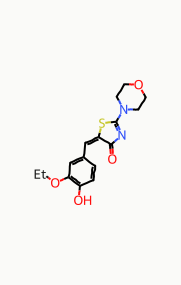 CCOc1cc(C=C2SC(N3CCOCC3)=NC2=O)ccc1O